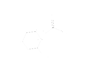 CC1CCCCN1.NC(=O)Cl